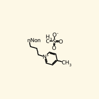 CCCCCCCCCCCC[n+]1ccc(C)cc1.CS(=O)(=O)[O-]